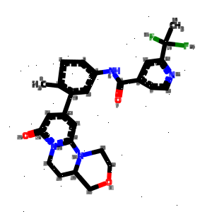 Cc1ccc(NC(=O)c2ccnc(C(C)(F)F)c2)cc1-c1cc2n(c(=O)c1)CCC1COCCN21